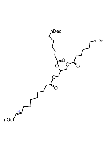 CCCCCCCC/C=C/CCCCCCCC(=O)OCC(COC(=O)CCCCCCCCCCCCCCC)OC(=O)CCCCCCCCCCCCCCC